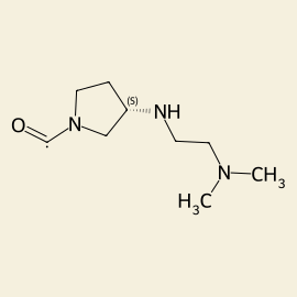 CN(C)CCN[C@H]1CCN([C]=O)C1